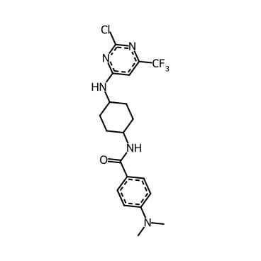 CN(C)c1ccc(C(=O)NC2CCC(Nc3cc(C(F)(F)F)nc(Cl)n3)CC2)cc1